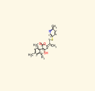 Cc1cc(C)c(C2=C(O)CC(C(C)CSc3ccc(C)nc3)OC2=O)c(C)c1